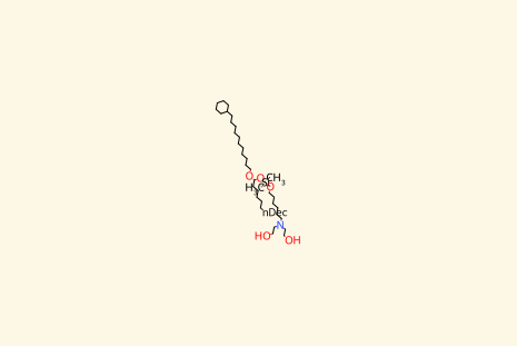 CCCCCCCCCCCCCCCC(OCCCCCCCCCCCC1CCCCC1)O[Si](C)(C)OCCCCCCN(CCO)CCO